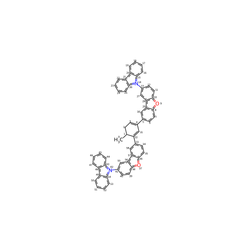 CC1CC=C(c2ccc3oc4ccc(-n5c6ccccc6c6ccccc65)cc4c3c2)C=C1c1ccc2oc3ccc(-n4c5ccccc5c5ccccc54)cc3c2c1